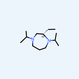 CC[C@H]1CN(C(C)C)CCCN1C(C)C